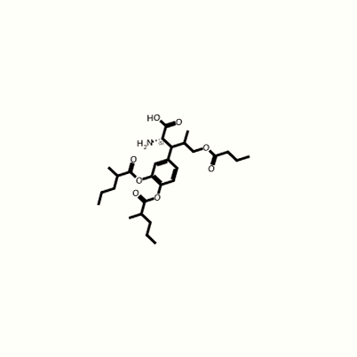 CCCC(=O)OCC(C)C(c1ccc(OC(=O)C(C)CCC)c(OC(=O)C(C)CCC)c1)[C@H](N)C(=O)O